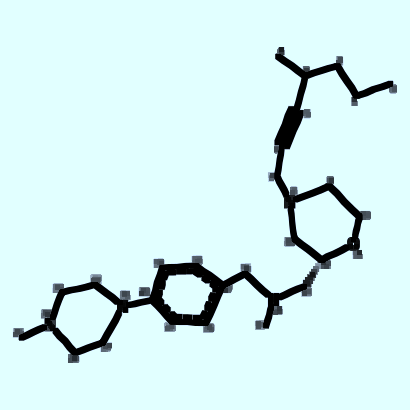 CCCC(C)C#CCN1CCO[C@H](CN(C)Cc2ccc(N3CCN(C)CC3)cc2)C1